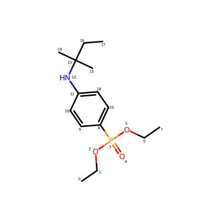 CCOP(=O)(OCC)c1ccc(NC(C)(C)CC)cc1